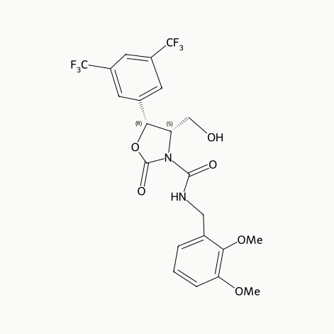 COc1cccc(CNC(=O)N2C(=O)O[C@H](c3cc(C(F)(F)F)cc(C(F)(F)F)c3)[C@@H]2CO)c1OC